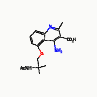 CC(=O)NC(C)(C)COc1cccc2nc(C)c(C(=O)O)c(N)c12